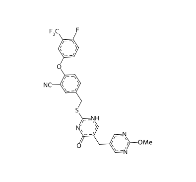 COc1ncc(Cc2c[nH]c(SCc3ccc(Oc4ccc(F)c(C(F)(F)F)c4)c(C#N)c3)nc2=O)cn1